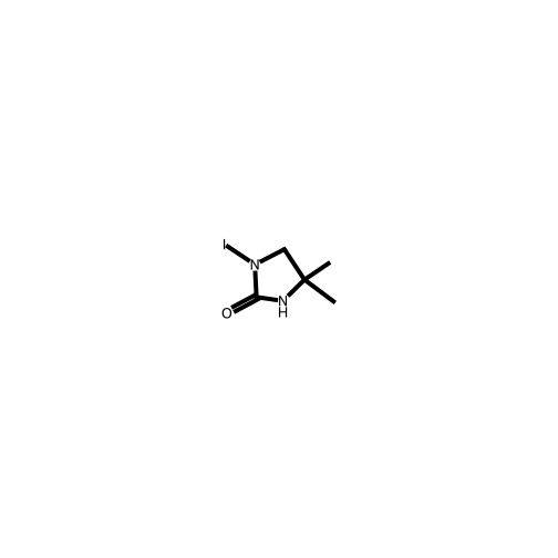 CC1(C)CN(I)C(=O)N1